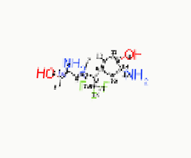 C/C(O)=C(N)\C=C(/C)C(c1ccc(O)c(N)c1)C(F)(F)F